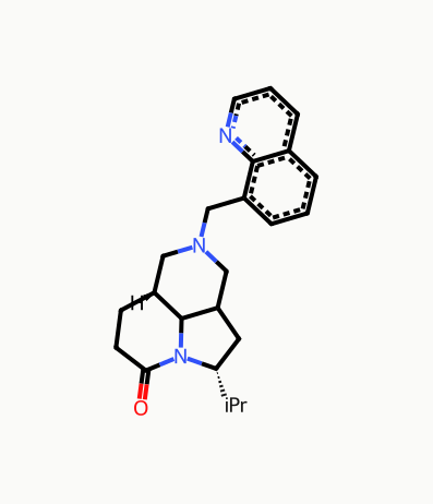 CC(C)[C@H]1CC2CN(Cc3cccc4cccnc34)C[C@H]3CCC(=O)N1C23